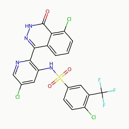 O=c1[nH]nc(-c2ncc(Cl)cc2NS(=O)(=O)c2ccc(Cl)c(C(F)(F)F)c2)c2cccc(Cl)c12